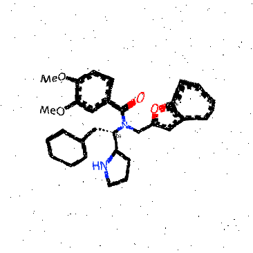 COc1ccc(C(=O)N(Cc2cc3ccccc3o2)[C@@H](CC2CCCCC2)C2CCCN2)cc1OC